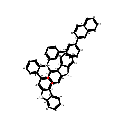 c1cc(-c2cccc(N(c3ccccc3-c3ccc4c(c3)oc3ccccc34)c3cccc4sc5ccccc5c34)c2)cc(-c2ccc3ccccc3c2)c1